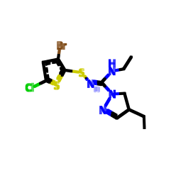 CCN/C(=N\Sc1sc(Cl)cc1Br)N1CC(CC)C=N1